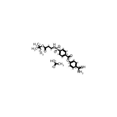 CC(=O)O.CC(C)(C)OC(=O)CCNS(=O)(=O)c1ccc(C(=O)Oc2ccc(C(=N)N)cc2)cc1